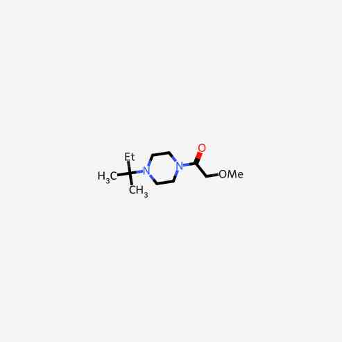 CCC(C)(C)N1CCN(C(=O)COC)CC1